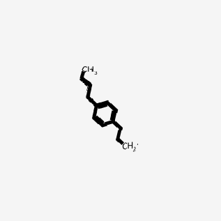 [CH2]CCc1ccc(CC=CC)cc1